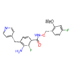 COc1cc(F)ccc1CONC(=O)c1ccc(Cc2ccncc2)c(N)c1F